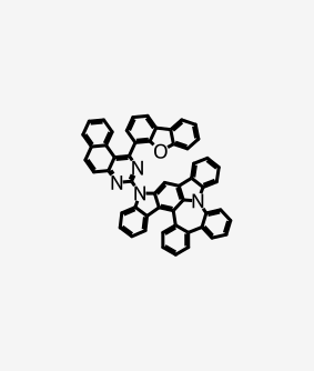 c1ccc2c(c1)-c1ccccc1-n1c3ccccc3c3cc4c(c-2c31)c1ccccc1n4-c1nc(-c2cccc3c2oc2ccccc23)c2c(ccc3ccccc32)n1